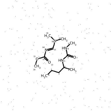 CCCC(C)NC(=O)NC.COC(=O)N=CN(C)C